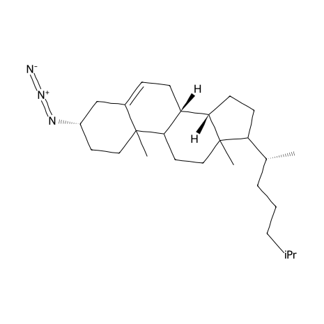 CC(C)CCC[C@@H](C)C1CC[C@H]2[C@H]3CC=C4C[C@@H](N=[N+]=[N-])CCC4(C)C3CCC12C